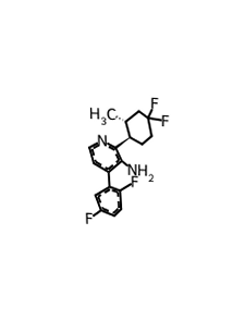 C[C@@H]1CC(F)(F)CC[C@H]1c1nccc(-c2cc(F)ccc2F)c1N